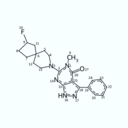 Cn1c(N2CCC3(CCC(F)C3)CC2)nc2[nH]nc(-c3ccccc3)c2c1=O